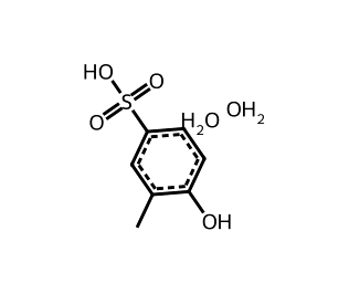 Cc1cc(S(=O)(=O)O)ccc1O.O.O